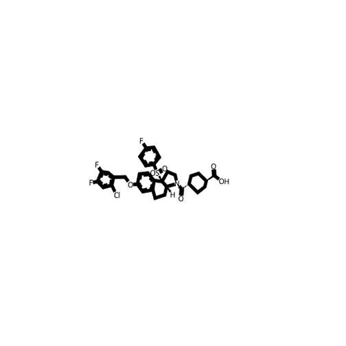 O=C(O)[C@H]1CC[C@H](C(=O)N2CC[C@@]3(S(=O)(=O)c4ccc(F)cc4)c4ccc(OCc5cc(F)c(F)cc5Cl)cc4CC[C@@H]23)CC1